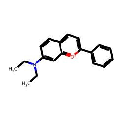 CCN(CC)c1ccc2ccc(-c3ccccc3)[o+]c2c1